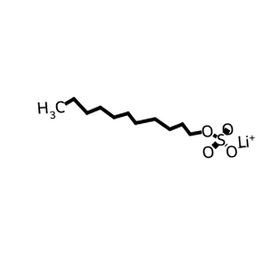 CCCCCCCCCCCOS(=O)(=O)[O-].[Li+]